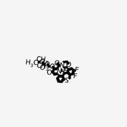 CC(C)(C)OC(=O)OCOc1c2n(ccc1=O)N([C@@H]1c3ccccc3SCc3c1ccc(F)c3F)[C@@H]1COCCN1C2=O